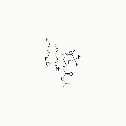 CC(C)OC(=O)c1nc(Cl)c(-c2ccc(F)cc2F)c(N[C@@H](C)C(F)(F)F)n1